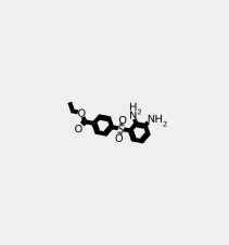 CCOC(=O)c1ccc(S(=O)(=O)c2cccc(N)c2N)cc1